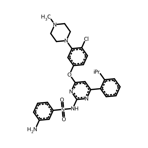 CC(C)c1ccccc1-c1cc(Oc2ccc(Cl)c(N3CCN(C)CC3)c2)nc(NS(=O)(=O)c2cccc(N)c2)n1